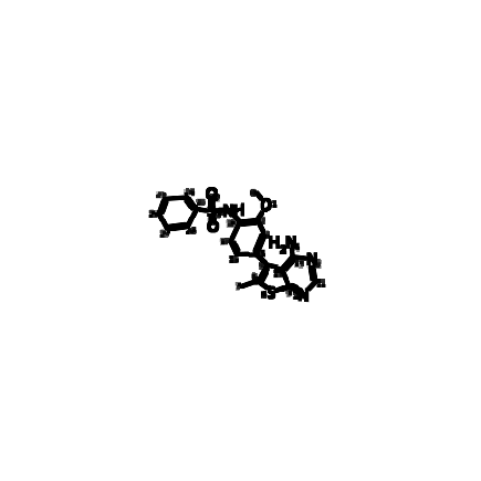 COc1cc(-c2c(C)sc3ncnc(N)c23)ccc1NS(=O)(=O)c1ccccc1